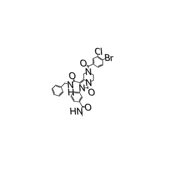 CNC(=O)c1cccc(-n2c(C(=O)NCc3ccccc3)c3n(c2=O)CCN(C(=O)c2ccc(Br)c(Cl)c2)C3)c1